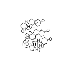 C[C@@H]1CC2=CC(=O)CC[C@@H]2[C@H]2CC[C@@]3(C)[C@@H](CC[C@]3(C)O)[C@@H]21.C[C@]12C=CC3=C4CCC(=O)C=C4CC[C@H]3[C@@H]1CC[C@@H]2O.C[C@]12CCC(=O)C=C1CC[C@@H]1[C@@H]2CC[C@@]2(C)[C@H]1CC[C@]2(C)O